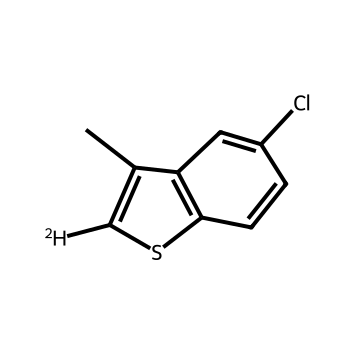 [2H]c1sc2ccc(Cl)cc2c1C